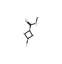 COC(=O)[C@H]1C[C@@H](I)C1